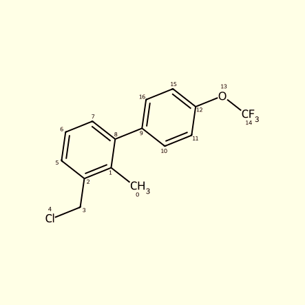 Cc1c(CCl)cccc1-c1ccc(OC(F)(F)F)cc1